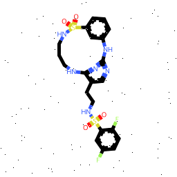 O=S1(=O)NCCCNc2nc(ncc2CCNS(=O)(=O)c2cc(F)ccc2F)Nc2cccc1c2